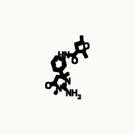 CC1=CC(C(=O)Nc2cccc(C3(C)CC(=O)N(C)C(N)=N3)c2)C(C)O1